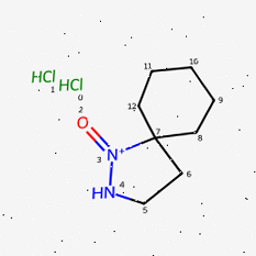 Cl.Cl.O=[N+]1NCCC12CCCCC2